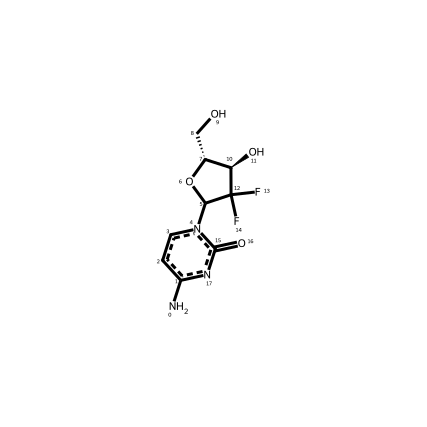 Nc1ccn(C2O[C@H](CO)[C@@H](O)C2(F)F)c(=O)n1